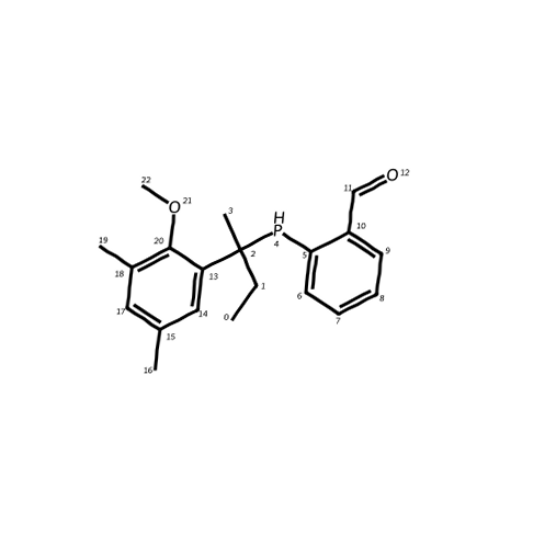 CCC(C)(Pc1ccccc1C=O)c1cc(C)cc(C)c1OC